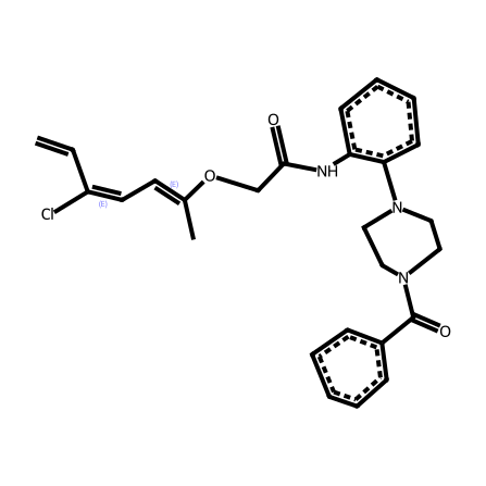 C=C/C(Cl)=C\C=C(/C)OCC(=O)Nc1ccccc1N1CCN(C(=O)c2ccccc2)CC1